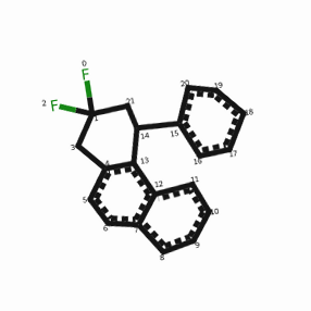 FC1(F)Cc2ccc3ccccc3c2C(c2ccccc2)C1